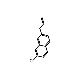 C=CCc1ccc2ccc(Cl)cc2c1